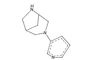 c1cncc(N2CC3CNC(C3)C2)c1